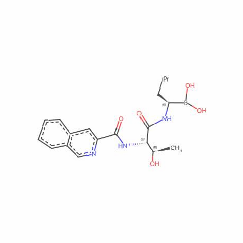 CC(C)C[C@H](NC(=O)[C@@H](NC(=O)c1cc2ccccc2cn1)[C@@H](C)O)B(O)O